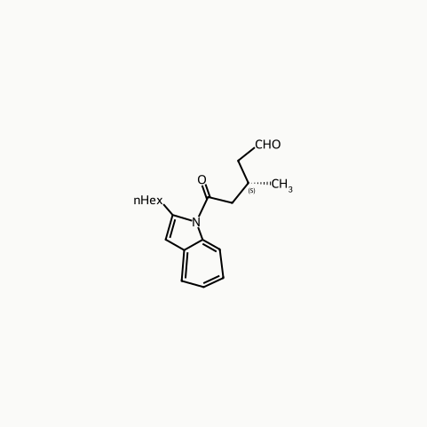 CCCCCCc1cc2ccccc2n1C(=O)C[C@@H](C)CC=O